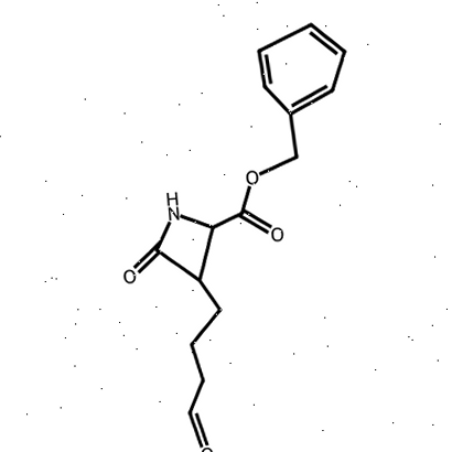 O=CCCCC1C(=O)NC1C(=O)OCc1ccccc1